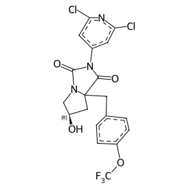 O=C1N(c2cc(Cl)nc(Cl)c2)C(=O)C2(Cc3ccc(OC(F)(F)F)cc3)C[C@@H](O)CN12